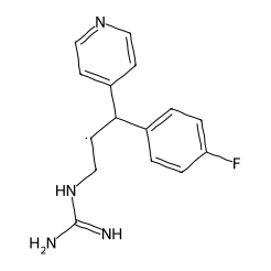 N=C(N)NC[CH]C(c1ccncc1)c1ccc(F)cc1